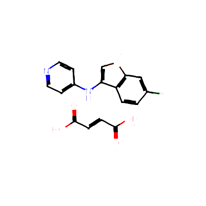 Fc1ccc2c(Nc3ccncc3)csc2c1.O=C(O)C=CC(=O)O